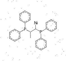 CC([CH]([Ni])P(c1ccccc1)c1ccccc1)P(c1ccccc1)c1ccccc1